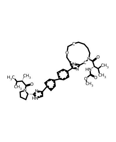 COC(=O)N[C@H](C(=O)N1CCCCCCOCc2[nH]c(nc2-c2ccc(-c3ccc(-c4c[nH]c([C@@H]5CCCN5C(=O)[C@@H](C)C(C)C)n4)cc3)cc2)C1)C(C)C